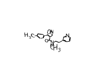 Cc1ccc(-c2oncc2C(=O)N(C)CCc2cccnc2)cc1